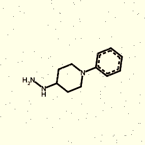 NNC1CCN(c2ccccc2)CC1